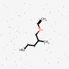 C=COCC(C)CCCCCC